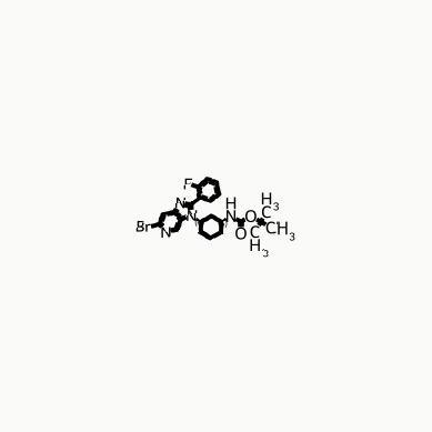 CC(C)(C)OC(=O)N[C@H]1CCC[C@@H](n2c(-c3ccccc3F)nc3cc(Br)ncc32)C1